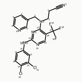 N#CCCN(Cc1cccnc1)c1nc(Nc2ccc(Cl)c(Cl)c2)ncc1C(F)(F)F